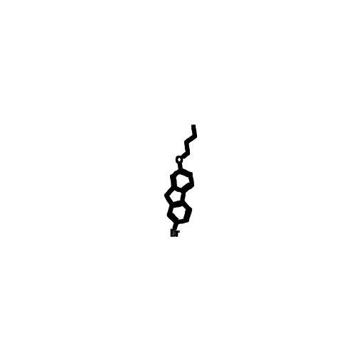 CCCCOc1ccc2c(c1)Cc1cc(Br)ccc1-2